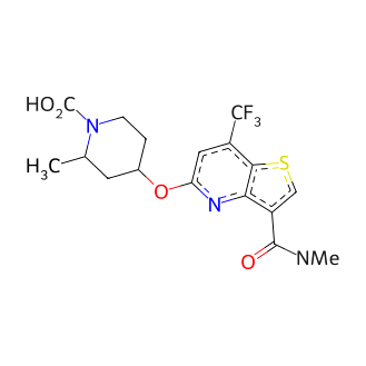 CNC(=O)c1csc2c(C(F)(F)F)cc(OC3CCN(C(=O)O)C(C)C3)nc12